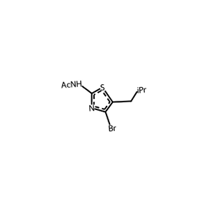 CC(=O)Nc1nc(Br)c(CC(C)C)s1